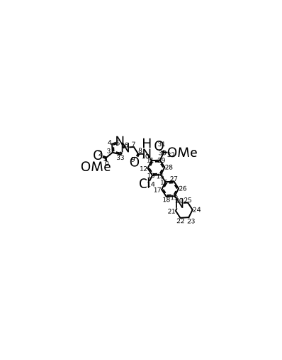 COC(=O)c1cnn(CC(=O)Nc2cc(Cl)c(-c3ccc(N4CCCCC4)cc3)cc2C(=O)OC)c1